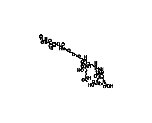 CC(=O)NCCCC[C@H](NC(=O)[C@H](CCCCNC(=S)Nc1ccc(CC2CN(CC(=O)O)CCN(CC(=O)O)CCN2CC(=O)O)cc1)NC(=O)CCOCCOCCOCCNC(=O)COc1ccc2c(C(=O)NCC(=O)N3CCCC3)ccnc2c1)C(=O)O